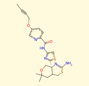 CC#CCOc1ccc(C(=O)Nc2csc([C@@]34COC(C)(C)CC3CSC(N)=N4)n2)nc1